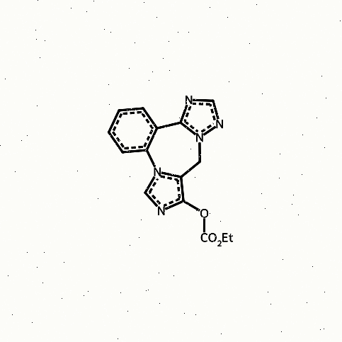 CCOC(=O)Oc1ncn2c1Cn1ncnc1-c1ccccc1-2